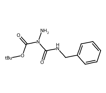 CC(C)(C)OC(=O)N(N)C(=O)NCc1ccccc1